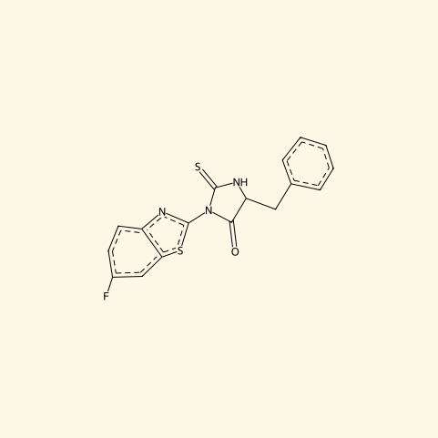 O=C1C(Cc2ccccc2)NC(=S)N1c1nc2ccc(F)cc2s1